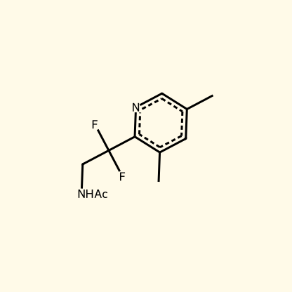 CC(=O)NCC(F)(F)c1ncc(C)cc1C